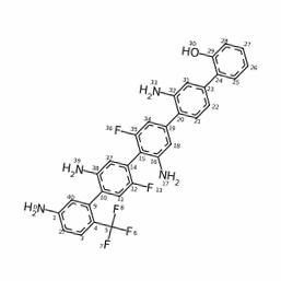 Nc1[c]cc(C(F)(F)F)c(-c2cc(F)c(-c3c(N)cc(-c4ccc(-c5ccccc5O)cc4N)cc3F)cc2N)c1